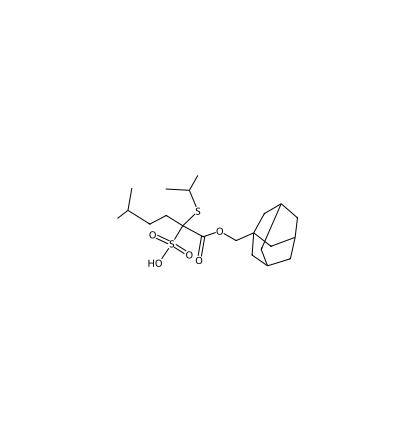 CC(C)CCC(SC(C)C)(C(=O)OCC12CC3CC(CC(C3)C1)C2)S(=O)(=O)O